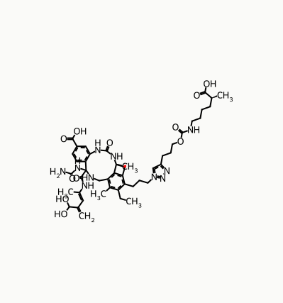 C=C(/C=C(\C)NC(=O)C1(NC(N)=O)NCc2c(C)c(CC)c(CCCn3cc(CCCOC(=O)NCCCC[C@H](C)C(=O)O)nn3)c3c2C(C)(C3)NC(=O)Nc2cc(C(=O)O)ccc21)C(O)O